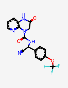 N#CC(NC(=O)N1CC(=O)Nc2cccnc21)c1ccc(OC(F)(F)F)cc1